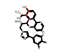 CO[C@@H](Cn1cc(-c2cc(F)c(F)c(F)c2)nn1)C(OC(CO)[C@@H](C)O)Sc1cc(Cl)cnc1-c1cccnc1